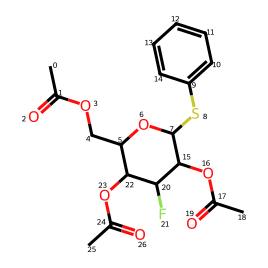 CC(=O)OCC1OC(Sc2ccccc2)C(OC(C)=O)C(F)C1OC(C)=O